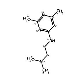 Cc1cc(NCCN(C)C)nc(C)n1